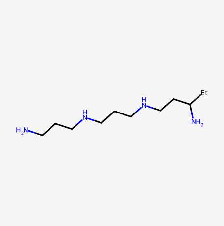 CCC(N)CCNCCCNCCCN